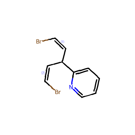 Br/C=C\C(/C=C\Br)c1ccccn1